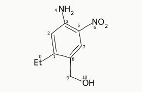 CCc1cc(N)c([N+](=O)[O-])cc1CO